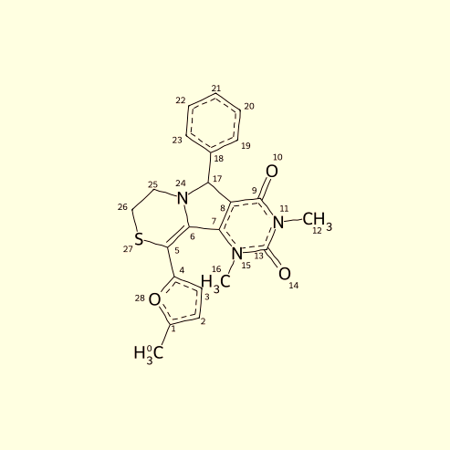 Cc1ccc(C2=C3c4c(c(=O)n(C)c(=O)n4C)C(c4ccccc4)N3CCS2)o1